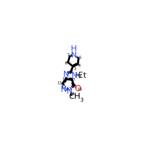 CCn1c(C2=CCNCC2)nc2cnn(C)c(=O)c21